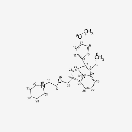 CCc1c(-c2ccc(OC)cc2)c2cc(COCCN3CCCCC3)c3cccc1n32